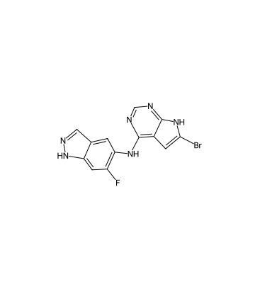 Fc1cc2[nH]ncc2cc1Nc1ncnc2[nH]c(Br)cc12